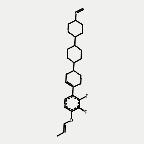 C=CC1CCC(C2CCC(C3CC=C(c4ccc(O/C=C/C)c(F)c4F)CC3)CC2)CC1